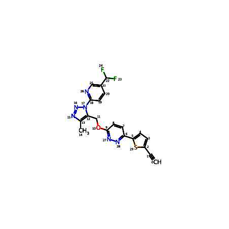 C#Cc1ccc(-c2ccc(OCc3c(C)nnn3-c3ccc(C(F)F)cn3)nn2)s1